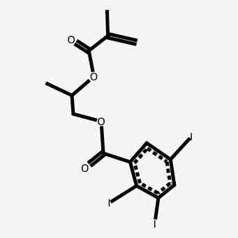 C=C(C)C(=O)OC(C)COC(=O)c1cc(I)cc(I)c1I